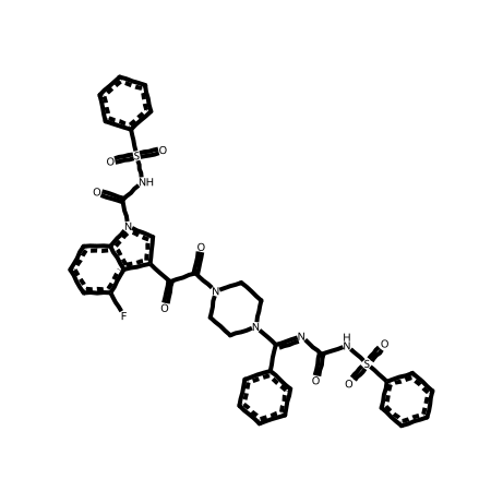 O=C(/N=C(\c1ccccc1)N1CCN(C(=O)C(=O)c2cn(C(=O)NS(=O)(=O)c3ccccc3)c3cccc(F)c23)CC1)NS(=O)(=O)c1ccccc1